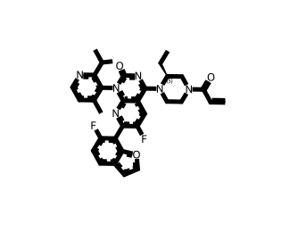 C=CC(=O)N1CCN(c2nc(=O)n(-c3c(C)ccnc3C(C)C)c3nc(-c4c(F)ccc5ccoc45)c(F)cc23)[C@@H](CC)C1